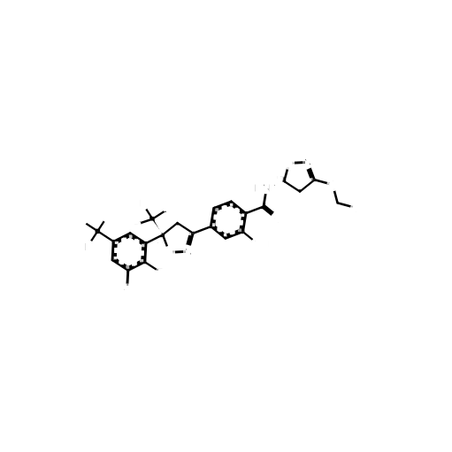 CCOC1=NO[C@@H](NC(=O)c2ccc(C3=NO[C@@](c4cc(C(F)(F)F)cc(Cl)c4F)(C(F)(F)F)C3)cc2C)C1